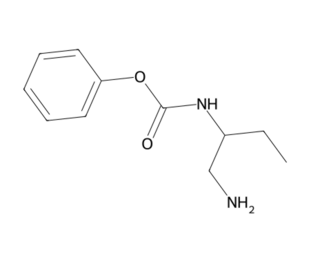 CCC(CN)NC(=O)Oc1ccccc1